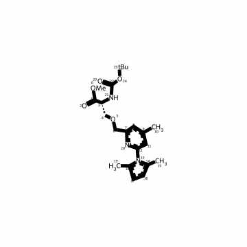 COC(=O)[C@@H](COCc1cc(C)cc(-n2c(C)ccc2C)n1)NC(=O)OC(C)(C)C